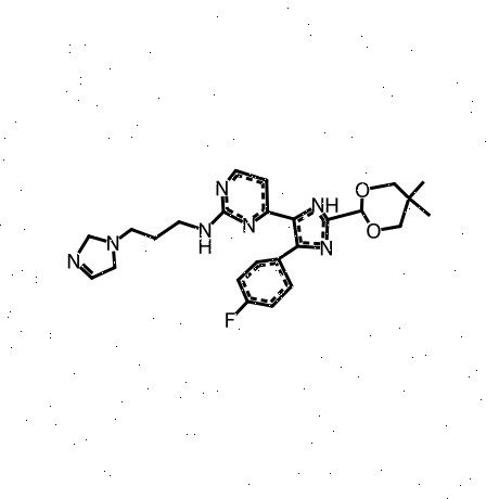 CC1(C)COC(c2nc(-c3ccc(F)cc3)c(-c3ccnc(NCCCN4CC=NC4)n3)[nH]2)OC1